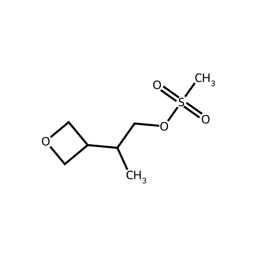 CC(COS(C)(=O)=O)C1COC1